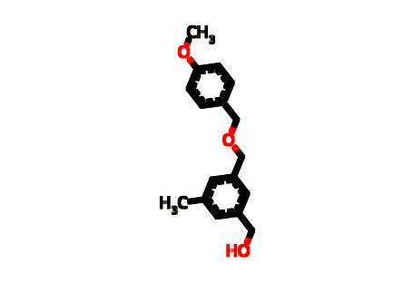 COc1ccc(COCc2cc(C)cc(CO)c2)cc1